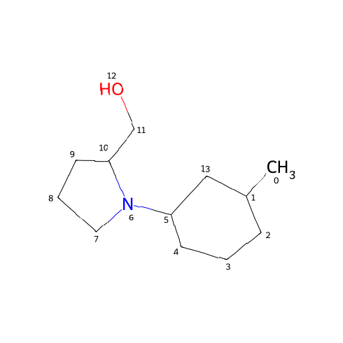 CC1CCCC(N2CCCC2CO)C1